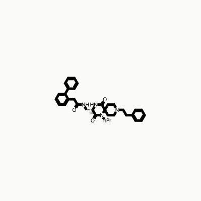 CCCN1C(=O)[C@H](CNC(=O)Cc2ccccc2-c2ccccc2)NC(=O)C12CCN(CCc1ccccc1)CC2